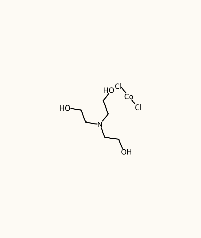 OCCN(CCO)CCO.[Cl][Co][Cl]